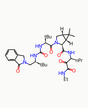 CCCC(NC(=O)[C@@H]1[C@@H]2[C@H](CN1C(=O)[C@@H](NC(=O)N[C@H](CN1Cc3ccccc3C1=O)C(C)(C)C)C(C)(C)C)C2(C)C)C(=O)C(=O)NCC